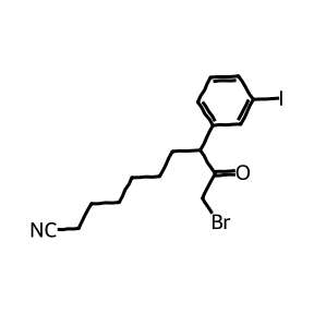 N#CCCCCCCC(C(=O)CBr)c1cccc(I)c1